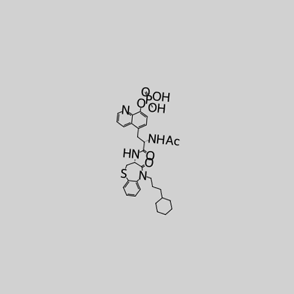 CC(=O)N[C@@H](Cc1ccc(OP(=O)(O)O)c2ncccc12)C(=O)N[C@H]1CSc2ccccc2N(CCCC2CCCCC2)C1=O